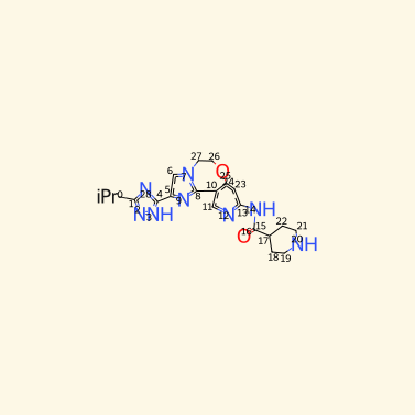 CC(C)c1n[nH]c(-c2cn3c(n2)-c2cnc(NC(=O)C4CCNCC4)cc2OCC3)n1